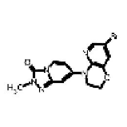 Cn1nc2cc(N3CCOc4cc(Br)cnc43)ccn2c1=O